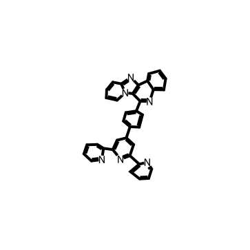 c1ccc(-c2cc(-c3ccc(-c4nc5ccccc5c5nc6ccccn6c45)cc3)cc(-c3ccccn3)n2)nc1